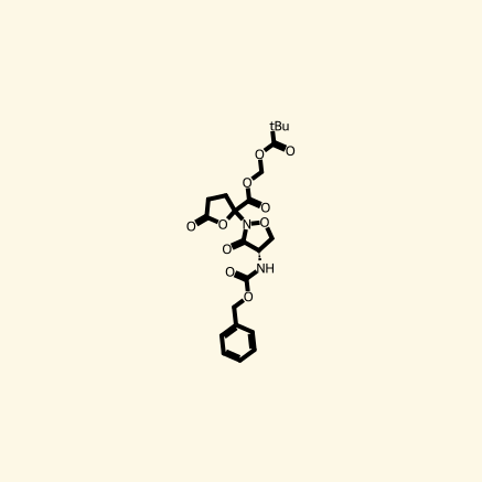 CC(C)(C)C(=O)OCOC(=O)C1(N2OC[C@H](NC(=O)OCc3ccccc3)C2=O)CCC(=O)O1